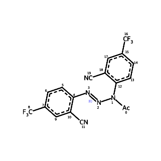 CC(=O)N(/N=N/c1ccc(C(F)(F)F)cc1C#N)c1ccc(C(F)(F)F)cc1C#N